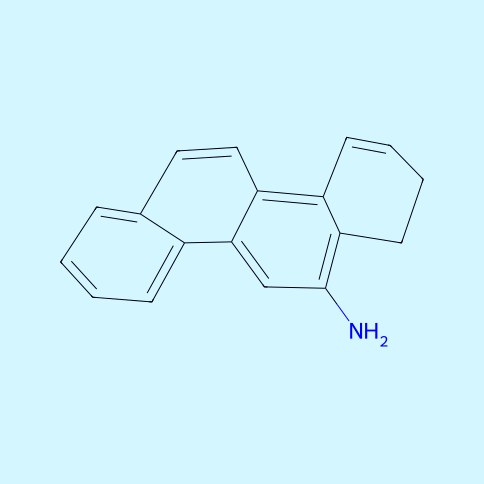 Nc1cc2c(ccc3ccccc32)c2c1CCC=C2